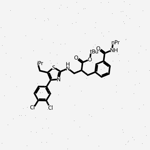 CCCNC(=O)c1cccc(CC(CNc2nc(-c3ccc(Cl)c(Cl)c3)c(CC(C)C)s2)C(=O)OC(C)(C)C)c1